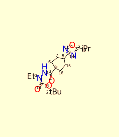 CCN(NC(=O)C1CCC(c2noc(C(C)C)n2)CC1)C(=O)OC(C)(C)C